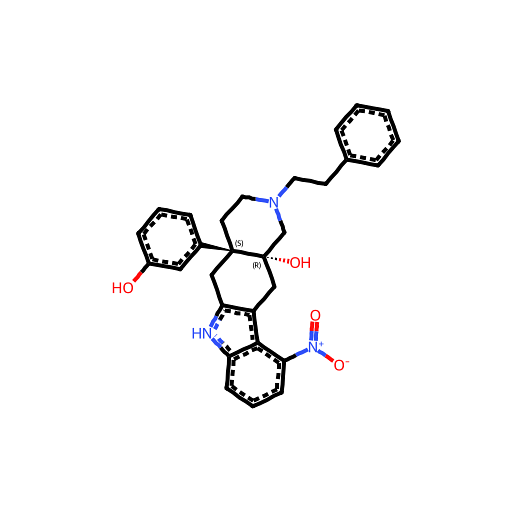 O=[N+]([O-])c1cccc2[nH]c3c(c12)C[C@]1(O)CN(CCc2ccccc2)CC[C@@]1(c1cccc(O)c1)C3